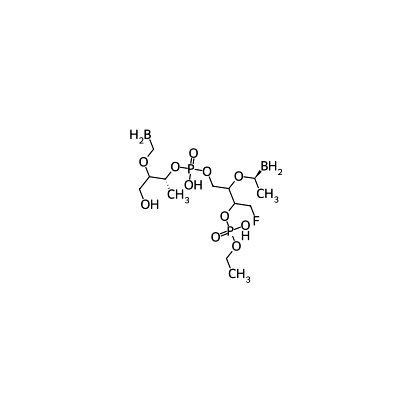 BCOC(CO)[C@@H](C)OP(=O)(O)OCC(O[C@@H](B)C)C(CF)OP(=O)(O)OCC